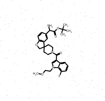 COCCn1cc(C(=O)N2CCC3(CC2)COc2ccc(C(N)C(=O)OC(C)(C)C)cc23)c2cccc(F)c21